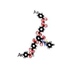 CC(=O)C1CCC(C(=O)OCOC(=O)C2CCC(C(=O)Oc3ccc(OC(=O)C4CCC(C(=O)OC(C)OC(=O)C5CCC(C(C)=O)CC5)CC4)c4c3C(=O)N(c3nc5ccc(C)cc5s3)C4=O)CC2)CC1